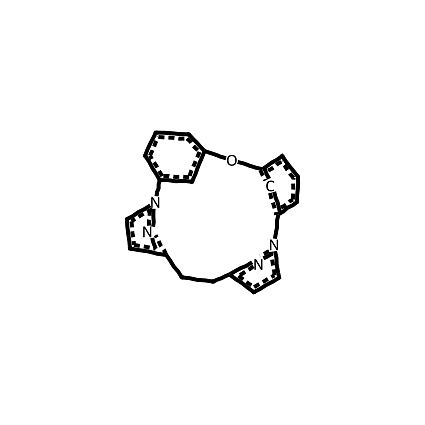 c1cc2cc(c1)-n1ccc(n1)CCc1ccn(n1)-c1cccc(c1)O2